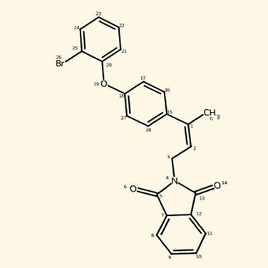 CC(=CCN1C(=O)c2ccccc2C1=O)c1ccc(Oc2ccccc2Br)cc1